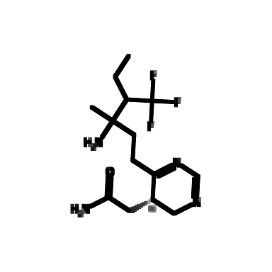 CCC(C(F)(F)F)C(C)(N)CCC1=NC=NC[C@@H]1CC(N)=O